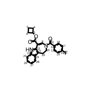 O=C(OC1CCC1)C1=CN(C(=O)c2ccc(F)cc2)CCc2c1[nH]c1ccccc21